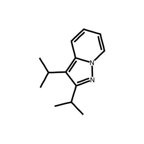 CC(C)c1nn2ccccc2c1C(C)C